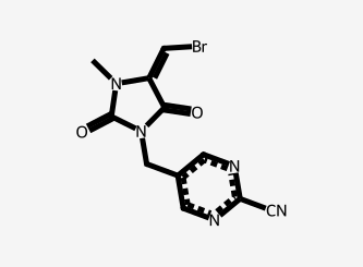 CN1C(=O)N(Cc2cnc(C#N)nc2)C(=O)C1=CBr